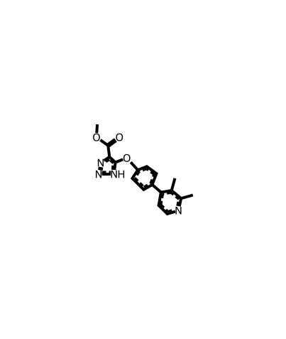 COC(=O)c1nn[nH]c1Oc1ccc(-c2ccnc(C)c2C)cc1